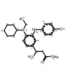 COC(=O)CC(C)c1ccc(N(CC(C)C)C2CCCCC2)c(Nc2ccc(Cl)cn2)c1